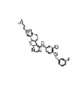 CN(C)CCn1cc2c(n1)CCc1c-2sc2ncnc(Nc3ccc(OCc4cccc(F)c4)c(Cl)c3)c12